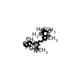 CCN1C(=O)C(C)(C)C(=O)N(C)c2cc(CCN(CCn3cc(C)c4occc4c3=O)Cc3scnc3C)ccc21